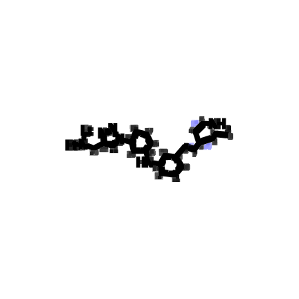 C=C/C=C(\C=C/N)/C=C/c1cccc(Nc2cccc(-n3cc(CN(CC)CC)nn3)c2)c1